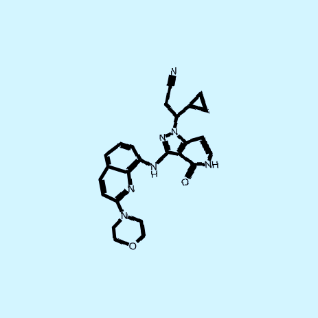 N#CCC(C1CC1)n1nc(Nc2cccc3ccc(N4CCOCC4)nc23)c2c(=O)[nH]ccc21